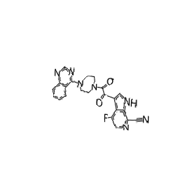 N#Cc1ncc(F)c2c(C(=O)C(=O)N3CCN(c4ncnc5ccccc45)CC3)c[nH]c12